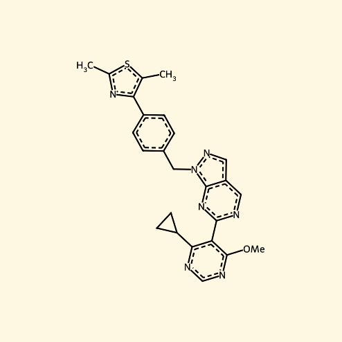 COc1ncnc(C2CC2)c1-c1ncc2cnn(Cc3ccc(-c4nc(C)sc4C)cc3)c2n1